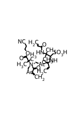 C=CC(=O)NC(C(C)(C)NC(=O)C=C)S(=O)(=O)O.C=CC(=O)[N+](CC(C)=O)(CC(C)=O)C(C)(C)C(=O)OCCC#N